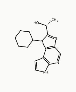 C[C@@H](O)c1nc2cnc3[nH]ccc3c2n1C1CCCCC1